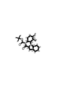 CC(C)(C)OC(=O)n1c(=O)c2cc3ccccc3n2c2c(F)c(F)ccc21